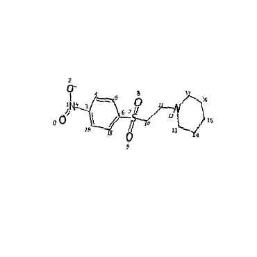 O=[N+]([O-])c1ccc(S(=O)(=O)CCN2CCCCC2)cc1